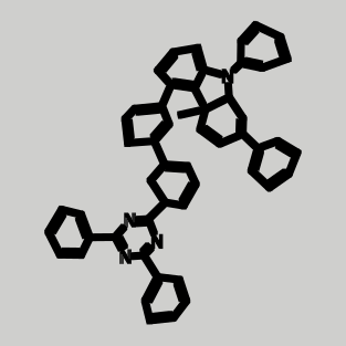 CC12C=CC(c3ccccc3)=CC1N(c1ccccc1)c1cccc(-c3cccc(C4=CC=CC(c5nc(-c6ccccc6)nc(-c6ccccc6)n5)C4)c3)c12